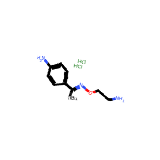 CCCCC(=NOCCN)c1ccc(N)cc1.Cl.Cl